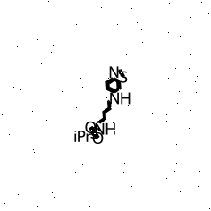 CC(C)S(=O)(=O)NCCCCCNc1ccc2ncsc2c1